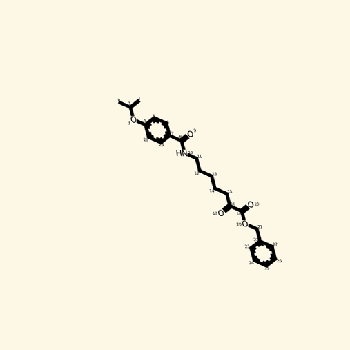 CC(C)Oc1ccc(C(=O)NCCCCCC(=O)C(=O)OCc2ccccc2)cc1